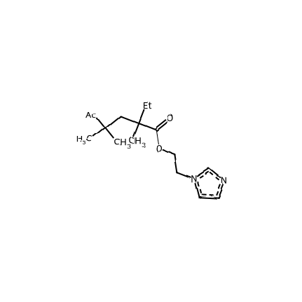 CCC(C)(CC(C)(C)C(C)=O)C(=O)OCCn1ccnc1